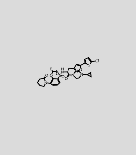 O=C([C@H](Cc1cc(-c2ccc(Cl)s2)on1)NS(=O)(=O)c1cccc(N2CCCCC2=O)c1OC(F)F)N1CCN(C2CC2)CC1